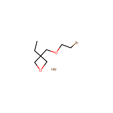 Br.CCC1(COCCBr)COC1